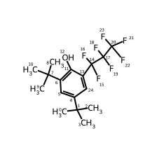 CC(C)(C)c1cc(C(C)(C)C)c(O)c(C(F)(F)C(F)(F)C(F)(F)F)c1